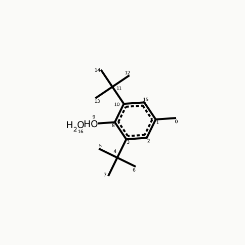 Cc1cc(C(C)(C)C)c(O)c(C(C)(C)C)c1.O